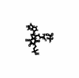 CCn1c(=O)n(CCC(C)(C)O)c(=O)c2c1nc(N1CCC3CNCC31)n2CC=C(C)C.O=C(O)C(F)(F)F